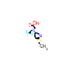 CCSc1ccc(N(CC(=O)O)CC(F)(F)F)cn1